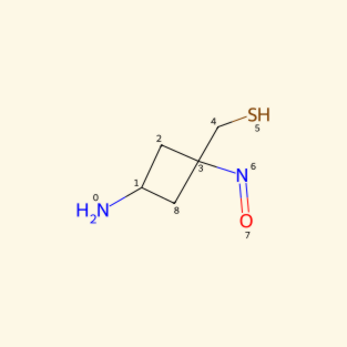 NC1CC(CS)(N=O)C1